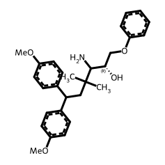 COc1ccc(C(CC(C)(C)C(N)[C@@H](O)COc2ccccc2)c2ccc(OC)cc2)cc1